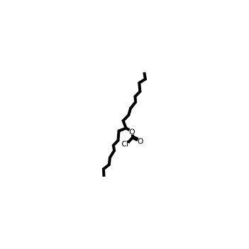 CCCCCCCCCC(CCCCCCCC)OC(=O)Cl